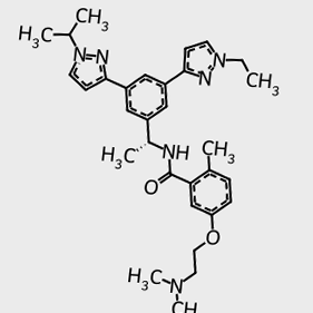 CCn1ccc(-c2cc(-c3ccn(C(C)C)n3)cc([C@@H](C)NC(=O)c3cc(OCCN(C)C)ccc3C)c2)n1